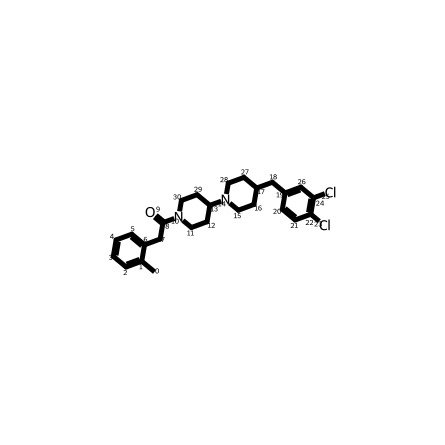 Cc1ccccc1CC(=O)N1CCC(N2CCC(Cc3ccc(Cl)c(Cl)c3)CC2)CC1